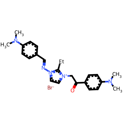 CCc1n(N=Cc2ccc(N(C)C)cc2)cc[n+]1CC(=O)c1ccc(N(C)C)cc1.[Br-]